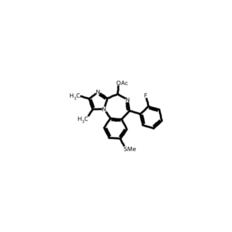 CSc1ccc2c(c1)C(c1ccccc1F)=NC(OC(C)=O)c1nc(C)c(C)n1-2